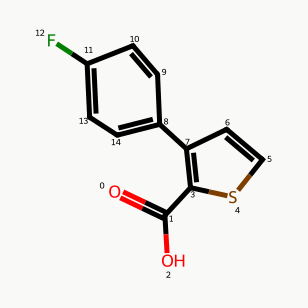 O=C(O)c1sccc1-c1ccc(F)cc1